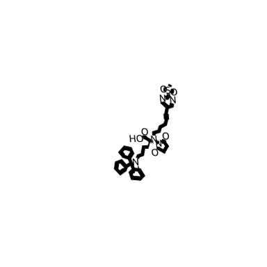 CS(=O)(=O)c1ncc(C#CCCCCN([C@@H](CCCCNC(c2ccccc2)(c2ccccc2)c2ccccc2)C(=O)O)N2C(=O)CCC2=O)cn1